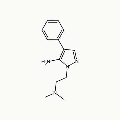 CN(C)CCn1ncc(-c2ccccc2)c1N